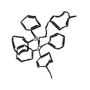 Cc1ccc(CC[Si](c2ccccc2)(c2ccccc2)[Si](c2ccccc2)(c2ccccc2)c2ccc(C)cc2)cc1